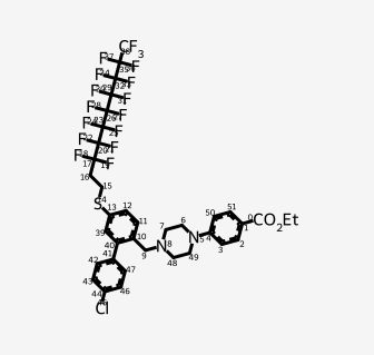 CCOC(=O)c1ccc(N2CCN(Cc3ccc(SCCC(F)(F)C(F)(F)C(F)(F)C(F)(F)C(F)(F)C(F)(F)C(F)(F)C(F)(F)F)cc3-c3ccc(Cl)cc3)CC2)cc1